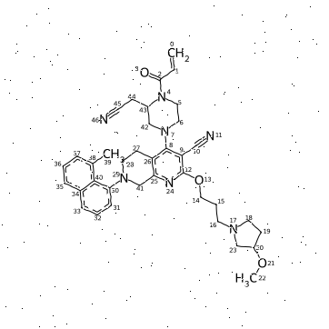 C=CC(=O)N1CCN(c2c(C#N)c(OCCCN3CCC(OC)C3)nc3c2CCN(c2cccc4cccc(C)c24)C3)CC1CC#N